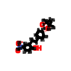 CC1(C)OB(c2ccc(C=Cc3cc([N+](=O)[O-])ccc3O)cc2)OC1(C)C